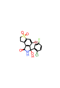 O=C1NC(O)(c2cc(F)ccc2Cl)c2c(Br)cc3c(c21)CCS3(=O)=O